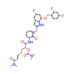 CN(C)C(=O)C=CCCC(OC(=O)N(C)C)C(=O)Nc1cccn(Cc2cc3cc(F)cc(OCc4ccc(F)cc4F)c3[nH]2)c1=O